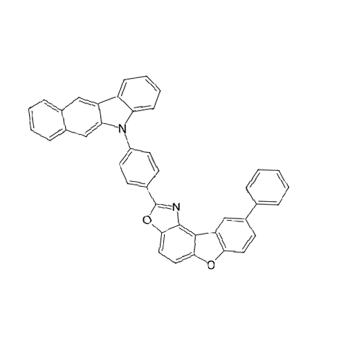 c1ccc(-c2ccc3oc4ccc5oc(-c6ccc(-n7c8ccccc8c8cc9ccccc9cc87)cc6)nc5c4c3c2)cc1